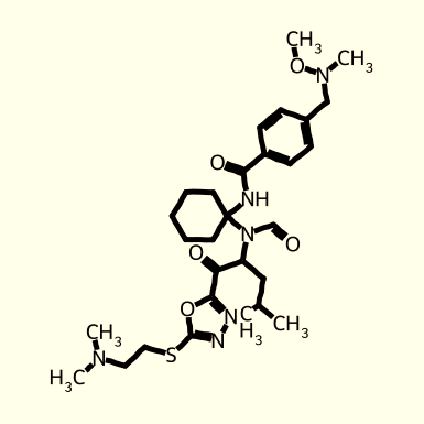 CON(C)Cc1ccc(C(=O)NC2(N(C=O)C(CC(C)C)C(=O)c3nnc(SCCN(C)C)o3)CCCCC2)cc1